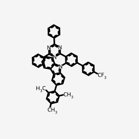 Cc1cc(C)c(-c2ccc3c(c2)c2ccccc2n3-c2cc(-c3ccc(C(F)(F)F)cc3)ccc2-c2nc(-c3ccccc3)nc(-c3ccccc3)n2)c(C)c1